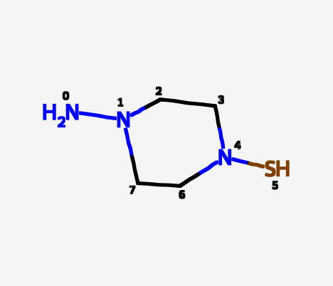 NN1CCN(S)CC1